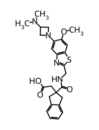 COc1cc2sc(CNC(=O)C3(CC(=O)O)Cc4ccccc4C3)nc2cc1N1CC(N(C)C)C1